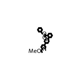 CO[C@@H](C)c1ccc(C2=CCN(c3ccccc3C(=O)OCc3ccccc3)CC2)cn1